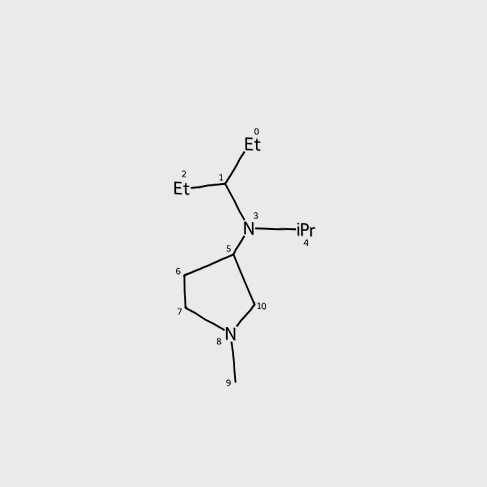 CCC(CC)N(C(C)C)C1CCN(C)C1